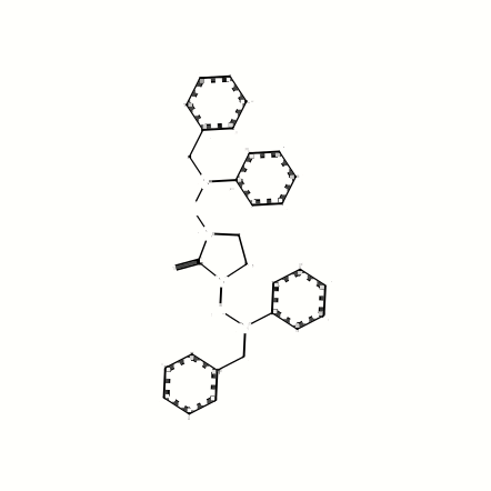 O=C1N(SN(Cc2ccccc2)c2ccccc2)CCN1SN(Cc1ccccc1)c1ccccc1